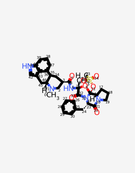 CN1C[C@H](C(=O)N[C@]2(C)O[C@@]3(OS(C)(=O)=O)[C@@H]4CCCN4C(=O)[C@H](Cc4ccccc4)N3C2=O)CC2c3cccc4[nH]cc(c34)C[C@H]21